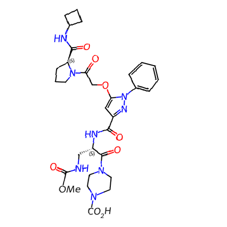 COC(=O)NC[C@H](NC(=O)c1cc(OCC(=O)N2CCC[C@H]2C(=O)NC2CCC2)n(-c2ccccc2)n1)C(=O)N1CCN(C(=O)O)CC1